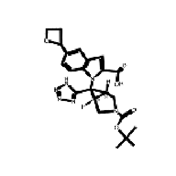 CC(C)(C)OC(=O)N1C[C@@H]2[C@H](C1)C2(c1nnn[nH]1)n1c(C(=O)O)cc2cc(C3CCO3)ccc21